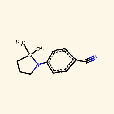 C[Si]1(C)CCCN1c1ccc(C#N)cc1